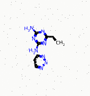 C=Cc1nc(N)nc(N)n1.c1cnnnc1